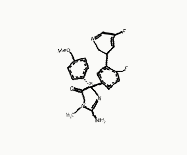 COc1ccc([C@]2(c3ccc(F)c(C4C=C(F)C=NC4)c3)N=C(N)N(C)C2=O)cc1